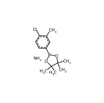 Cc1cc(B2OC(C)(C)C(C)(C)O2)ccc1Cl.N